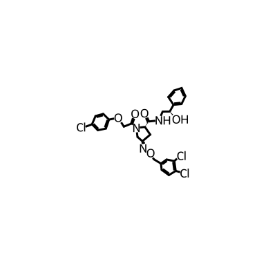 O=C(NC[C@@H](O)c1ccccc1)[C@@H]1C/C(=N\OCc2ccc(Cl)c(Cl)c2)CN1C(=O)COc1ccc(Cl)cc1